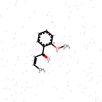 C/[C]=C\C(=O)c1ccccc1OC